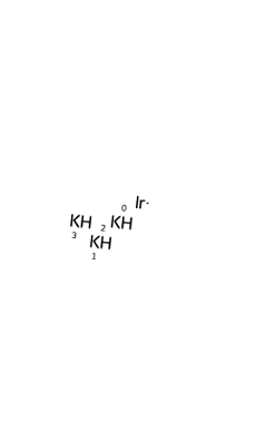 [Ir].[KH].[KH].[KH]